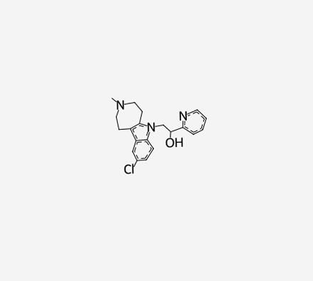 CN1CCc2c(n(CC(O)c3ccccn3)c3ccc(Cl)cc23)CC1